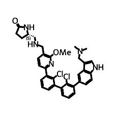 COc1nc(-c2cccc(-c3cccc(-c4ccc5[nH]cc(CN(C)C)c5c4)c3Cl)c2Cl)ccc1CNC[C@@H]1CCC(=O)N1